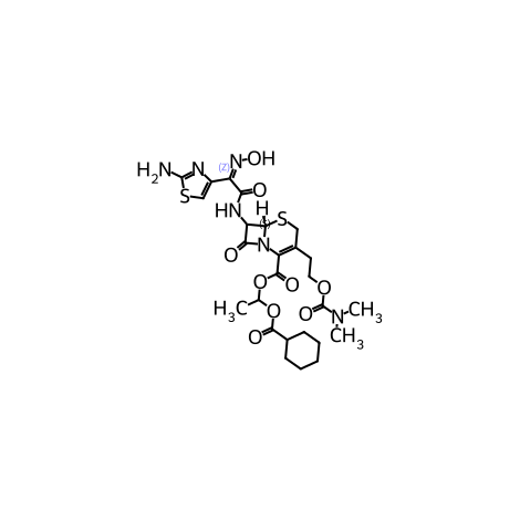 CC(OC(=O)C1=C(CCOC(=O)N(C)C)CS[C@H]2C(NC(=O)/C(=N\O)c3csc(N)n3)C(=O)N12)OC(=O)C1CCCCC1